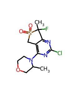 CC1COCCN1c1nc(Cl)nc2c1CS(=O)(=O)C2(C)F